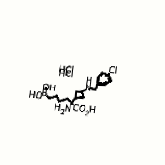 Cl.Cl.NC(CCCCB(O)O)(C(=O)O)C1CC(NCc2ccc(Cl)cc2)C1